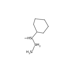 C[SiH]([SiH2][SiH3])C1CCCCC1